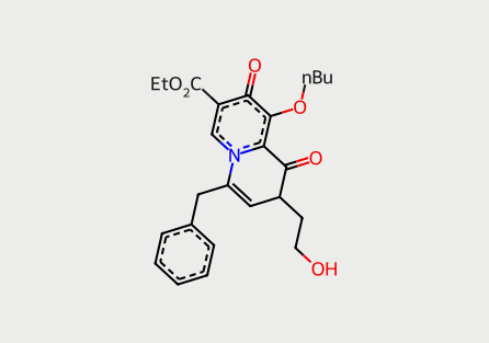 CCCCOc1c2n(cc(C(=O)OCC)c1=O)C(Cc1ccccc1)=CC(CCO)C2=O